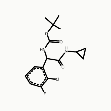 CC(C)(C)OC(=O)NC(C(=O)NC1CC1)c1cccc(F)c1Cl